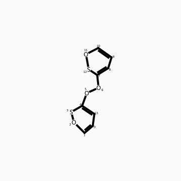 C1=COSC(OOC2=CC=COS2)=C1